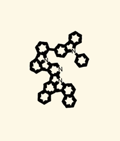 c1ccc(-n2c3ccccc3c3cc(-c4cccc5c6cccc7c8c9c%10cc%11ccccc%11c%11c%12c%13ccccc%13ccc%12n(c9ncc8n(c45)c67)c%10%11)ccc32)cc1